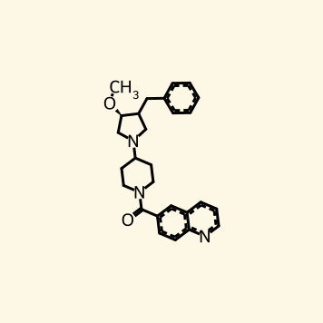 CO[C@@H]1CN(C2CCN(C(=O)c3ccc4ncccc4c3)CC2)CC1Cc1ccccc1